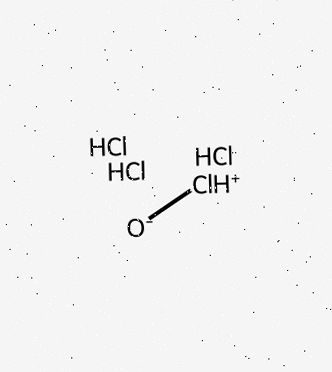 Cl.Cl.Cl.[O-][ClH+]